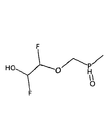 C[PH](=O)COC(F)C(O)F